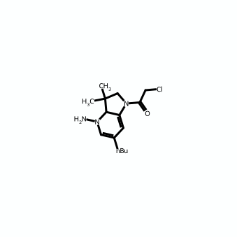 CCCCC1=CN(N)C2C(=C1)N(C(=O)CCl)CC2(C)C